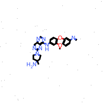 C=Nc1cccc(Oc2ccc(Nc3ncnc4cnc(N5CCC(C)(N)CC5)nc34)cc2OC)c1